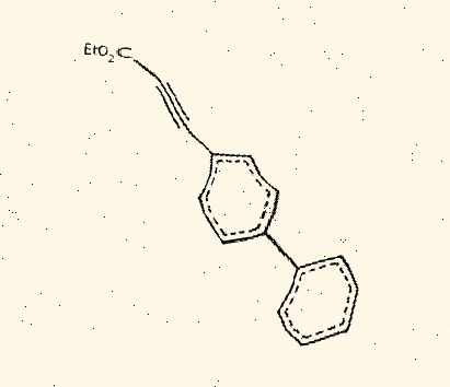 CCOC(=O)C#Cc1ccc(-c2ccccc2)cc1